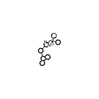 O=P(Cc1ncc(-c2cccc(-c3cc4ccccc4c4ccccc34)c2)cn1)(C1=CCCC=C1)c1ccccc1